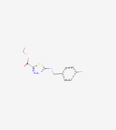 CCOC(=O)c1nnc(NCc2ccc(Cl)cc2)s1